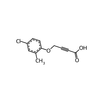 Cc1cc(Cl)ccc1OCC#CC(=O)O